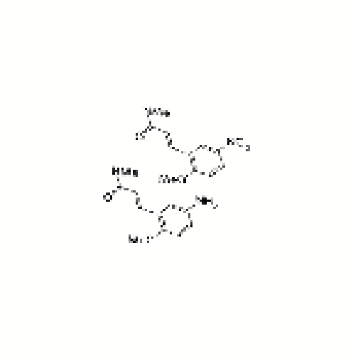 CNC(=O)C=Cc1cc(N)ccc1OC.CNC(=O)C=Cc1cc([N+](=O)[O-])ccc1OC